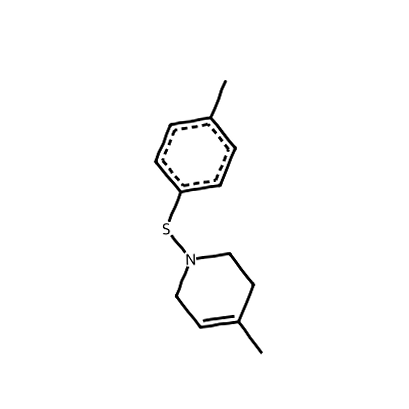 CC1=CCN(Sc2ccc(C)cc2)CC1